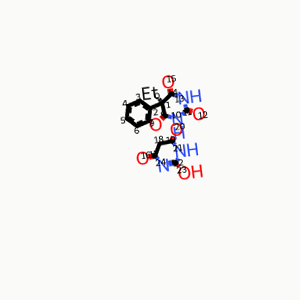 CCC1(c2ccccc2)C(=O)NC(=O)NC1=O.O=C1CC(=O)NC(O)=N1